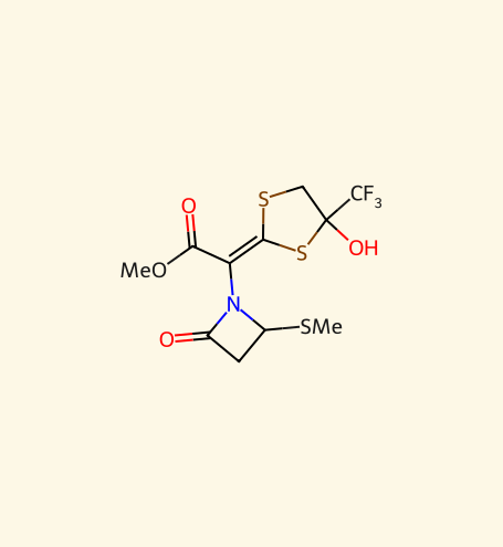 COC(=O)C(=C1SCC(O)(C(F)(F)F)S1)N1C(=O)CC1SC